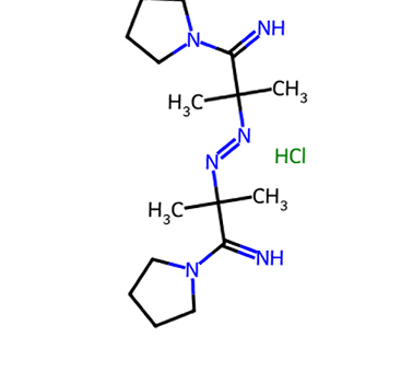 CC(C)(N=NC(C)(C)C(=N)N1CCCC1)C(=N)N1CCCC1.Cl